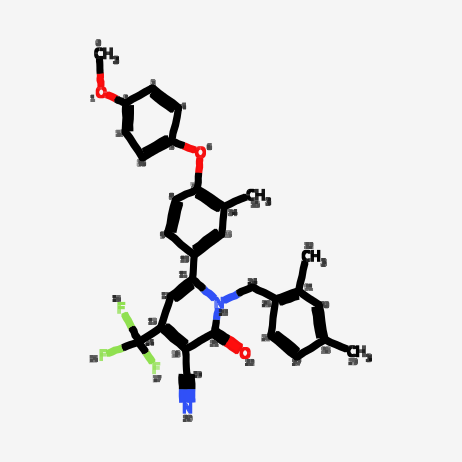 COc1ccc(Oc2ccc(-c3cc(C(F)(F)F)c(C#N)c(=O)n3Cc3ccc(C)cc3C)cc2C)cc1